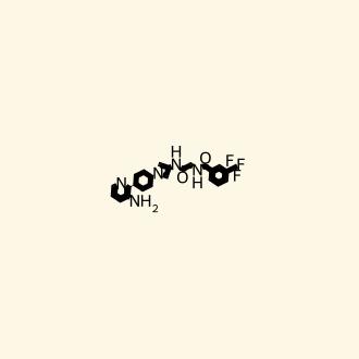 Nc1cccnc1[C@H]1CC[C@@H](N2CC(NC(=O)CNC(=O)c3cccc(C(F)(F)F)c3)C2)CC1